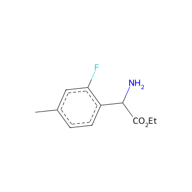 CCOC(=O)C(N)c1ccc(C)cc1F